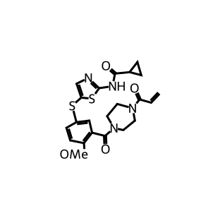 C=CC(=O)N1CCN(C(=O)c2cc(Sc3cnc(NC(=O)C4CC4)s3)ccc2OC)CC1